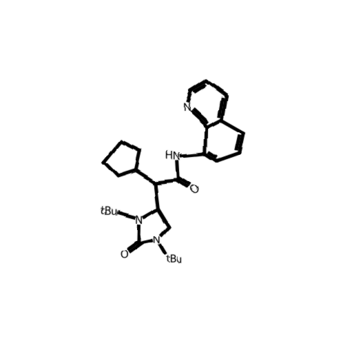 CC(C)(C)N1CC(C(C(=O)Nc2cccc3cccnc23)C2CCCC2)N(C(C)(C)C)C1=O